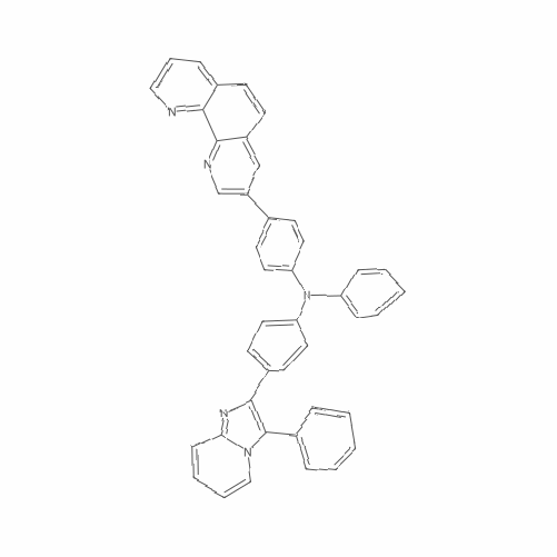 c1ccc(-c2c(-c3ccc(N(c4ccccc4)c4ccc(-c5cnc6c(ccc7cccnc76)c5)cc4)cc3)nc3ccccn23)cc1